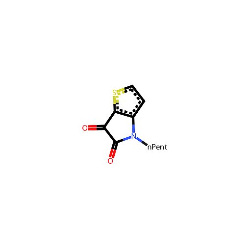 CCCCCN1C(=O)C(=O)c2sccc21